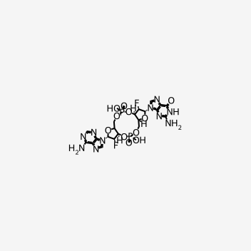 Nc1nc2c(ncn2[C@@H]2O[C@@H]3COP(=O)(O)O[C@@H]4C(COP(=O)(O)O[C@H]3[C@H]2F)O[C@@H](n2cnc3c(N)ncnc32)[C@@H]4F)c(=O)[nH]1